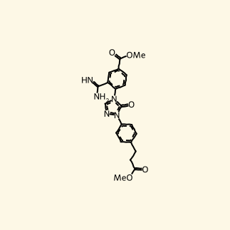 COC(=O)CCc1ccc(-n2ncn(-c3ccc(C(=O)OC)cc3C(=N)N)c2=O)cc1